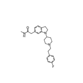 CNC(=O)Cc1ccc2c(c1)N(C1CCN(CCc3ccc(F)cc3)CC1)CC2